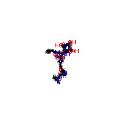 COC(=O)C[C@H](NC(=O)[C@H](CSCCNC(=O)CCCc1ccc(C)cc1)NC(=O)CN1CCN(CC(=O)O)CCN(CC(=O)O)CCN(CC(=O)O)CC1)C(=O)N1CCC(CCCCOc2ccc3nccc(C(=O)NCC(=O)N4CC(F)(F)C[C@@H]4C#N)c3c2)CC1